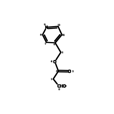 O=[C]CC(=O)OCc1ccncc1